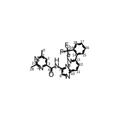 Cc1cc(C(=O)Nc2cnc3ccc(-c4ccccc4C(F)(F)F)nn23)nc(C)n1